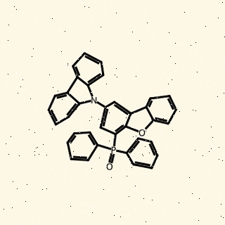 O=P(c1ccccc1)(c1ccccc1)c1cc(-n2c3ccccc3c3ccccc32)cc2c1oc1ccccc12